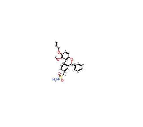 C=CCOc1ccc2c(c1OC)-c1ccc(CS(N)(=O)=O)cc1C(c1ccccc1)O2